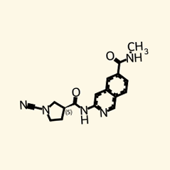 CNC(=O)c1ccc2cnc(NC(=O)[C@H]3CCN(C#N)C3)cc2c1